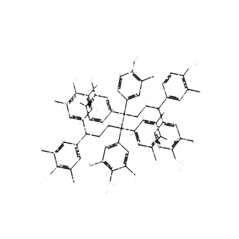 Cc1cc(C(CCC(c2ccc(O)c(C)c2)(c2ccc(O)c(C)c2)C(CCC(c2cc(C)c(O)c(C)c2)c2cc(C)c(O)c(C)c2)(c2cc(C)c(O)c(C)c2)c2cc(C)c(O)c(C)c2)c2ccc(O)c(C)c2)ccc1O